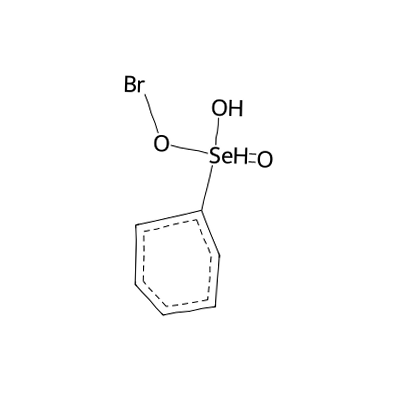 O=[SeH](O)(OBr)c1ccccc1